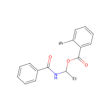 CCC(NC(=O)c1ccccc1)OC(=O)c1ccccc1C(C)C